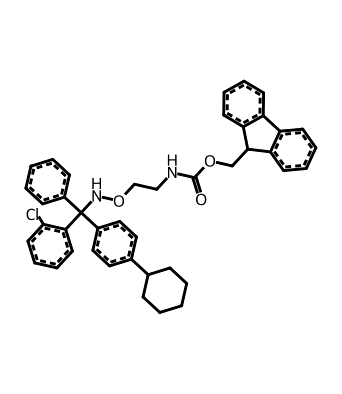 O=C(NCCONC(c1ccccc1)(c1ccc(C2CCCCC2)cc1)c1ccccc1Cl)OCC1c2ccccc2-c2ccccc21